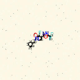 O=c1c(F)c(-c2nnc(C(F)F)o2)ccn1CCc1ccccc1